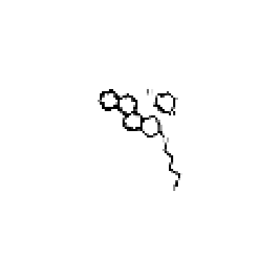 C1=CCOC=C1.I.ICCCCOC1CCc2c(ccc3c2ccc2ccccc23)C1